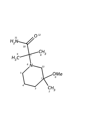 COC1(C)CCCN(C(C)(C)C(N)=O)C1